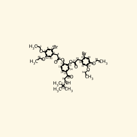 CCOc1cc(Br)c(CC(=O)Oc2ccc(C(=O)CNC(C)(C)C)cc2OC(=O)Cc2cc(OCC)c(OCC)cc2Br)cc1OCC